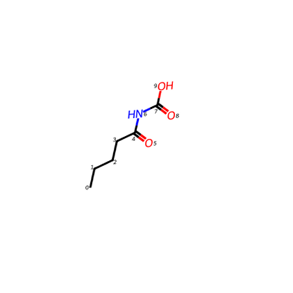 CCCCC(=O)NC(=O)O